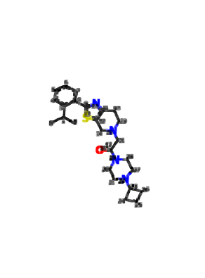 CC(C)c1ccccc1-c1nc2c(s1)CN(CC(=O)N1CCN(C3CCC3)CC1)CC2